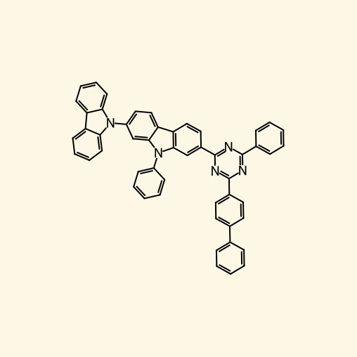 c1ccc(-c2ccc(-c3nc(-c4ccccc4)nc(-c4ccc5c6ccc(-n7c8ccccc8c8ccccc87)cc6n(-c6ccccc6)c5c4)n3)cc2)cc1